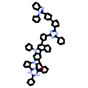 c1ccc(-c2nc(-c3cccc(-c4ccc(-c5nc6ccccc6n5-c5ccccc5)cc4)c3)nc(-c3cccc(-c4cc5c(c6ccccc46)c4cc6c7ccccc7n(-c7ccccc7C7=NC(c8ccccc8)NC(c8ccccc8)N7)c6cc4n5-c4ccccc4)c3)n2)cc1